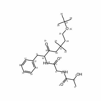 CC(O)C(=O)NCC(=O)NC(Cc1ccccc1)C(=O)CC(C)(C)CCOC(C)(C)C